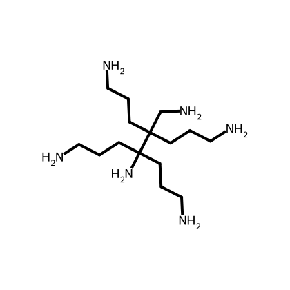 NCCCC(N)(CCCN)C(CN)(CCCN)CCCN